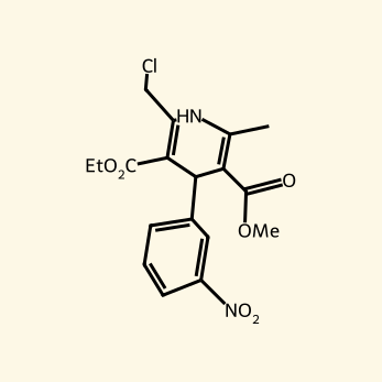 CCOC(=O)C1=C(CCl)NC(C)=C(C(=O)OC)C1c1cccc([N+](=O)[O-])c1